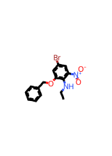 CCNc1c(OCc2ccccc2)cc(Br)cc1[N+](=O)[O-]